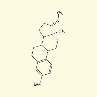 C/C=C1\CCC2C3CCc4cc(OC)ccc4C3CCC12C